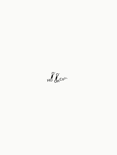 [Co+2].[O-]O.[O-]O